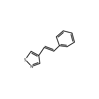 C(=C\c1cnsc1)/c1ccccc1